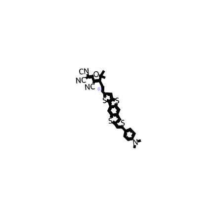 CN(C)c1ccc(-c2cc3sc4cc5c(cc4c3s2)sc2cc(/C=C/C3=C(C#N)C(=C(C#N)C#N)OC3(C)C)sc25)cc1